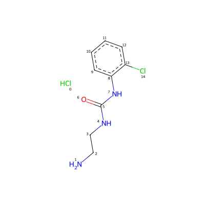 Cl.NCCNC(=O)Nc1ccccc1Cl